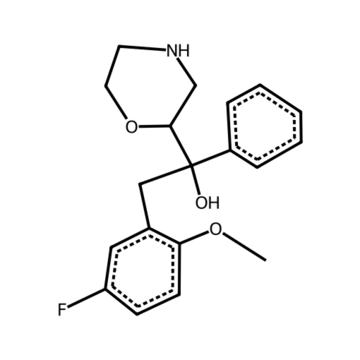 COc1ccc(F)cc1CC(O)(c1ccccc1)C1CNCCO1